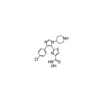 CCCNC(=O)c1csc(-c2c(-c3ccc(Cl)cc3)ncn2C2CCNCC2)n1